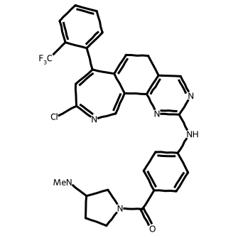 CNC1CCN(C(=O)c2ccc(Nc3ncc4c(n3)C3=CN=C(Cl)C=C(c5ccccc5C(F)(F)F)C3=CC4)cc2)C1